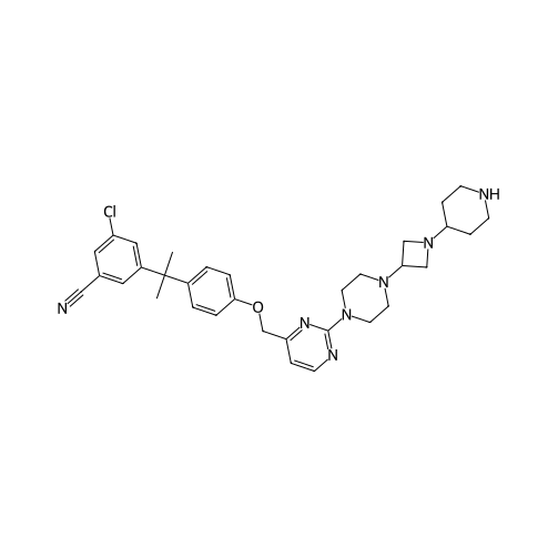 CC(C)(c1ccc(OCc2ccnc(N3CCN(C4CN(C5CCNCC5)C4)CC3)n2)cc1)c1cc(Cl)cc(C#N)c1